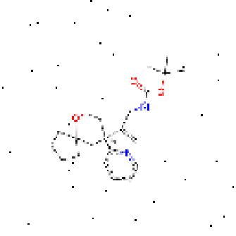 C=C(CNC(=O)OC(C)(C)C)[C@@]1(c2ccccn2)CCOC2(CCCC2)C1